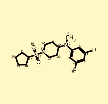 CN(c1cc(F)cc(I)c1)C1CCN(S(=O)(=O)C2CCCC2)CC1